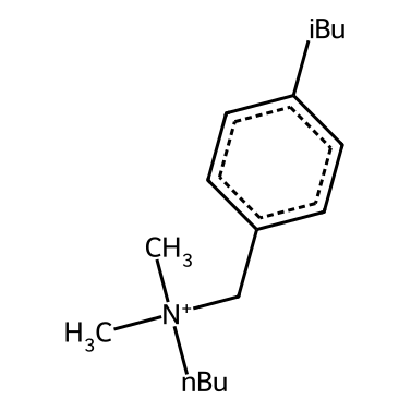 CCCC[N+](C)(C)Cc1ccc(C(C)CC)cc1